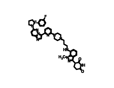 Cn1nc(C2CCC(=O)NC2=O)c2cccc(NCCCN3CCN(c4cccc(-c5cnc6ccc(N7CCC[C@@H]7c7cccc(F)c7)nn56)n4)CC3)c21